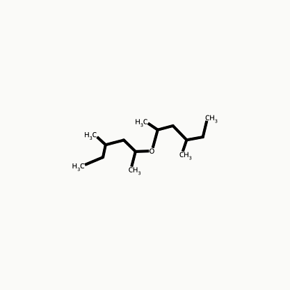 CCC(C)CC(C)OC(C)CC(C)CC